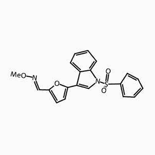 CON=Cc1ccc(-c2cn(S(=O)(=O)c3ccccc3)c3ccccc23)o1